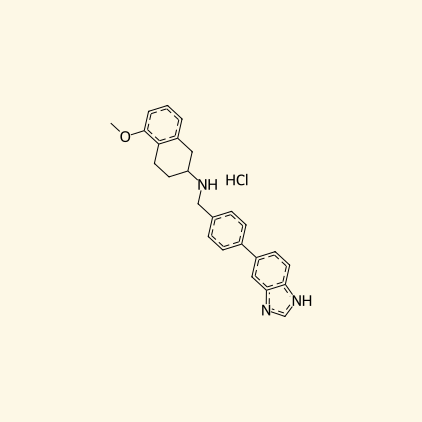 COc1cccc2c1CCC(NCc1ccc(-c3ccc4[nH]cnc4c3)cc1)C2.Cl